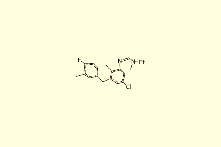 CCN(C)/C=N\c1cc(Cl)cc(Cc2ccc(F)c(C)c2)c1C